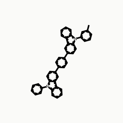 Cc1cccc(-n2c3ccccc3c3cc(-c4ccc(-c5ccc6c(c5)c5ccccc5n6-c5ccccc5)cc4)ccc32)c1